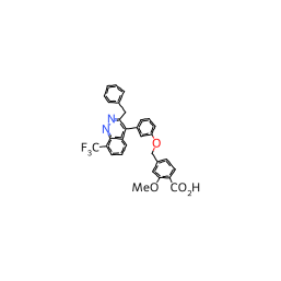 COc1cc(COc2cccc(-c3c(Cc4ccccc4)nnc4c(C(F)(F)F)cccc34)c2)ccc1C(=O)O